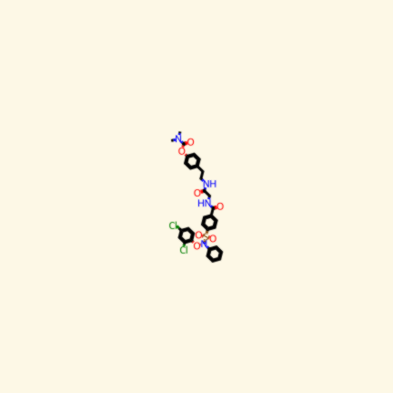 CN(C)C(=O)Oc1ccc(CCNC(=O)CNC(=O)c2ccc(S(=O)(=O)N(Oc3ccc(Cl)cc3Cl)c3ccccc3)cc2)cc1